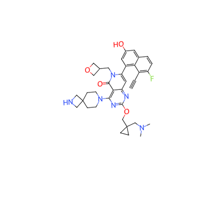 C#Cc1c(F)ccc2cc(O)cc(-c3cc4nc(OCC5(CN(C)C)CC5)nc(N5CCC6(CC5)CNC6)c4c(=O)n3CC3COC3)c12